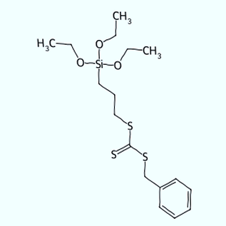 CCO[Si](CCCSC(=S)SCc1ccccc1)(OCC)OCC